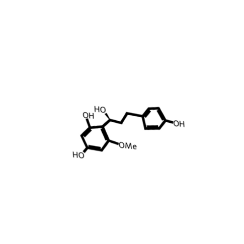 COc1cc(O)cc(O)c1[C@@H](O)CCc1ccc(O)cc1